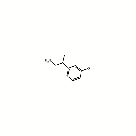 CC(CN)c1[c]c(Br)ccc1